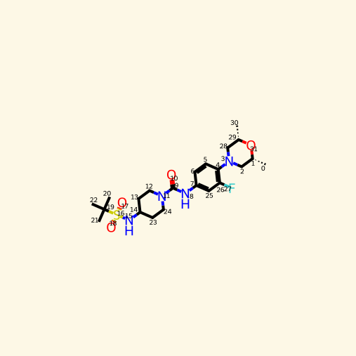 C[C@@H]1CN(c2ccc(NC(=O)N3CCC(NS(=O)(=O)C(C)(C)C)CC3)cc2F)C[C@H](C)O1